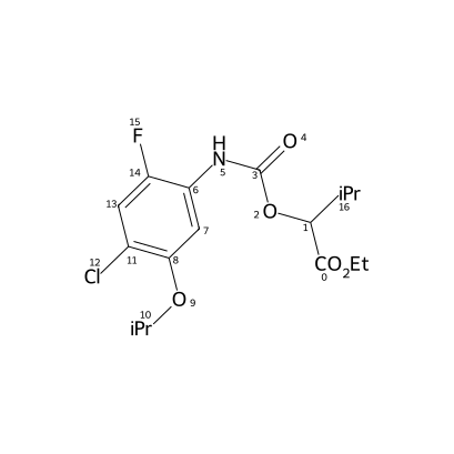 CCOC(=O)C(OC(=O)Nc1cc(OC(C)C)c(Cl)cc1F)C(C)C